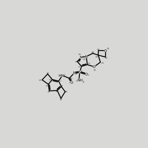 NS(=O)(=NC(=O)Nc1c2c(cc3c1CC3)CC2)c1cnn2c1OCC1(COC1)C2